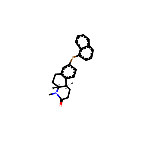 CN1C(=O)CC[C@]2(C)c3ccc(Sc4cccc5ccccc45)cc3CC[C@@H]12